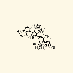 C=C/C=C\[C@H](C)[C@H](OC(N)=O)[C@@H](C)[C@H](O[Si](C)(C)C(C)(C)C)[C@@H](C)C(=O)N(C)C[C@H](C)[C@@H](O[Si](C)(C)C(C)(C)C)[C@@H](C)/C=C\CO